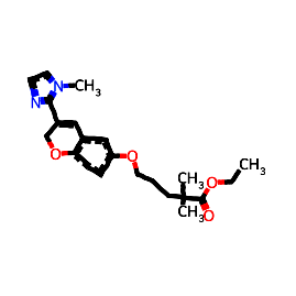 CCOC(=O)C(C)(C)CCCOc1ccc2c(c1)C=C(c1nccn1C)CO2